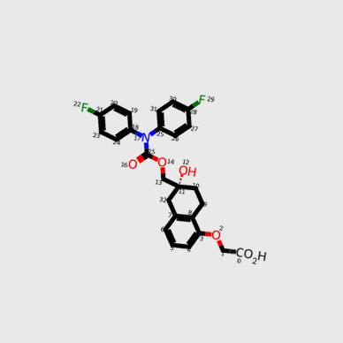 O=C(O)COc1cccc2c1CC[C@](O)(COC(=O)N(c1ccc(F)cc1)c1ccc(F)cc1)C2